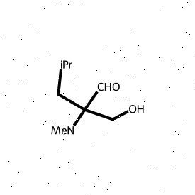 CNC(C=O)(CO)CC(C)C